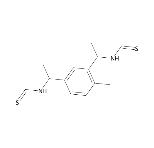 Cc1ccc(C(C)NC=S)cc1C(C)NC=S